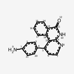 Nc1ccc(-c2ccnc3[nH]c(=O)c4ccccc4c23)cc1